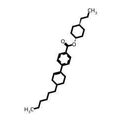 CCCCCCC1CC=C(c2ccc(C(=O)O[C@H]3CC[C@H](CCC)CC3)cc2)CC1